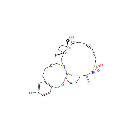 C[C@]12CC[C@H]1CN1CCCCc3cc(Cl)ccc3COc3ccc(cc31)C(=O)NS(=O)(=O)CC/C=C\C[C@H]2O